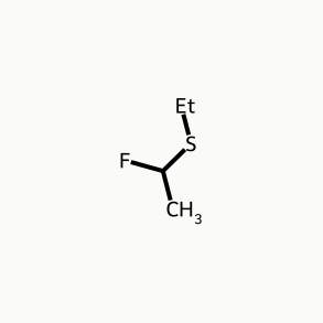 CCSC(C)F